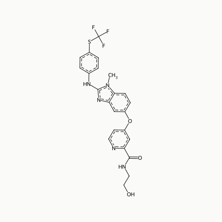 Cn1c(Nc2ccc(SC(F)(F)F)cc2)nc2cc(Oc3ccnc(C(=O)NCCO)c3)ccc21